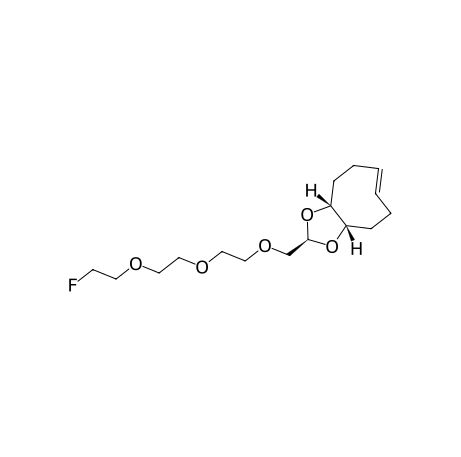 FCCOCCOCCOC[C@@H]1O[C@H]2CC/C=C/CC[C@H]2O1